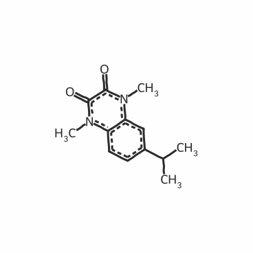 CC(C)c1ccc2c(c1)n(C)c(=O)c(=O)n2C